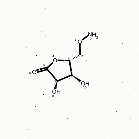 NOC[C@H]1OC(=O)[C@H](O)[C@@H]1O